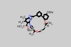 COc1ccc2c(c1)-c1cccc(c1)-c1cn3c(c([C@H](OC(C)(C)C)C(=O)O)c(C)c(C)c3n1)N1CCC(C)(CC1)OCCCC[C@H](C)O2